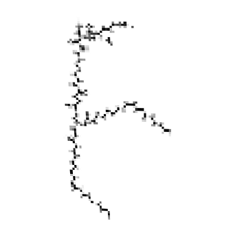 CCCCCCCC/C=C\CCCCCCCC(=O)OC[C@H](COC(=O)CCC(=O)NCCSSCCNC(=O)C(CCC)NC(=O)C(N)CCCN)OC(=O)CCCCCCC/C=C\CCCCCCCC